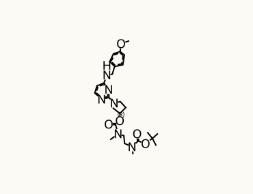 COc1ccc(CNc2ccnc(N3CC[C@@H](OC(=O)N(C)CCN(C)C(=O)OC(C)(C)C)C3)n2)cc1